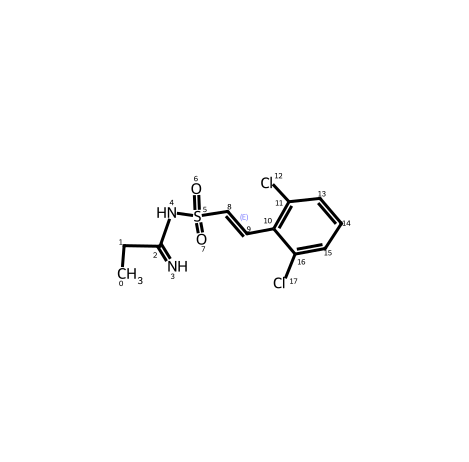 CCC(=N)NS(=O)(=O)/C=C/c1c(Cl)cccc1Cl